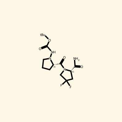 CC(C)(C)OC(=O)NN1CCC[C@H]1C(=O)N1CC(F)(F)C[C@H]1C(N)=O